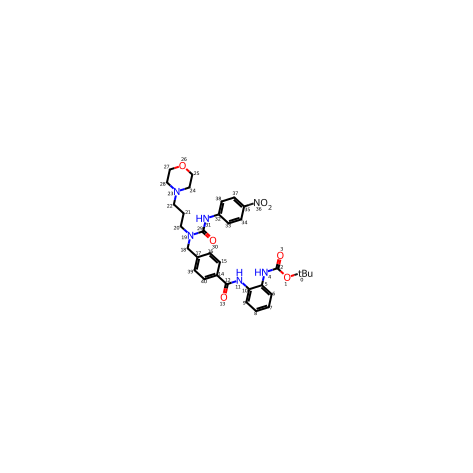 CC(C)(C)OC(=O)Nc1ccccc1NC(=O)c1ccc(CN(CCCN2CCOCC2)C(=O)Nc2ccc([N+](=O)[O-])cc2)cc1